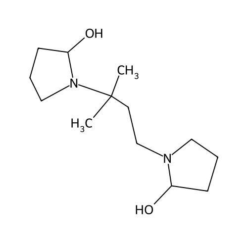 CC(C)(CCN1CCCC1O)N1CCCC1O